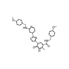 COc1ccc(CNC(=O)c2cc(-c3csc(-c4ccnc(NCc5ccc(OC)cc5)c4)n3)c(=O)[nH]c2C)cc1